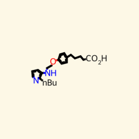 CCCCc1ncccc1NCCOc1ccc(CCCCC(=O)O)cc1